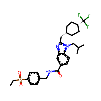 CCS(=O)(=O)c1ccc(CNC(=O)c2ccc3c(c2)nc(C[C@H]2CC[C@@H](C(F)(F)F)CC2)n3CC(C)C)cc1